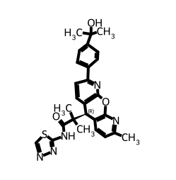 Cc1ccc2c(n1)Oc1nc(-c3ccc(C(C)(C)O)cc3)ccc1[C@@H]2C(C)(C)C(=O)Nc1nncs1